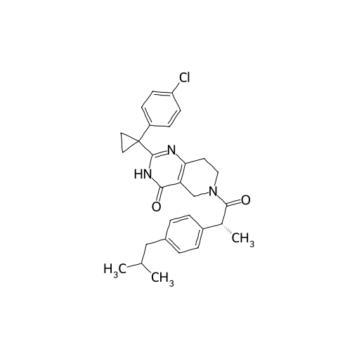 CC(C)Cc1ccc([C@@H](C)C(=O)N2CCc3nc(C4(c5ccc(Cl)cc5)CC4)[nH]c(=O)c3C2)cc1